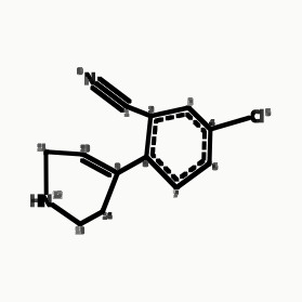 N#Cc1cc(Cl)ccc1C1=CCNCC1